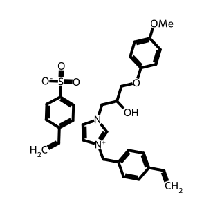 C=Cc1ccc(C[n+]2ccn(CC(O)COc3ccc(OC)cc3)c2)cc1.C=Cc1ccc(S(=O)(=O)[O-])cc1